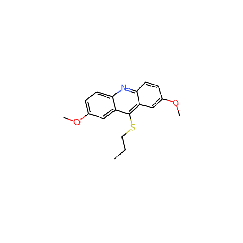 CCCSc1c2cc(OC)ccc2nc2ccc(OC)cc12